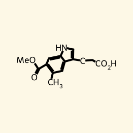 COC(=O)c1cc2[nH]cc(CCC(=O)O)c2cc1C